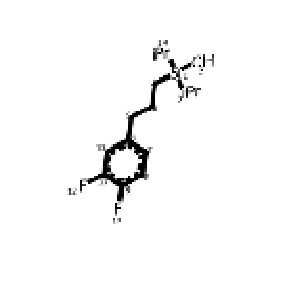 CC(C)[Si](O)(CCCc1ccc(F)c(F)c1)C(C)C